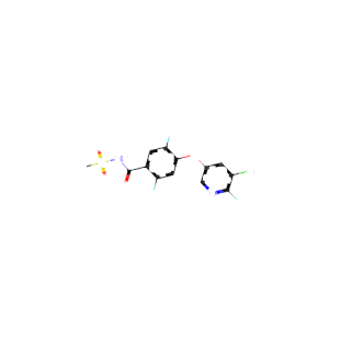 CS(=O)(=O)NC(=O)c1cc(F)c(Oc2cnc(F)c(Cl)c2)cc1F